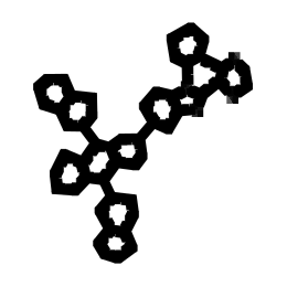 c1ccc2cc(-c3c4ccccc4c(-c4ccc5ccccc5c4)c4cc(-c5ccc6c(c5)nc5c7nccnc7c7ccccc7n65)ccc34)ccc2c1